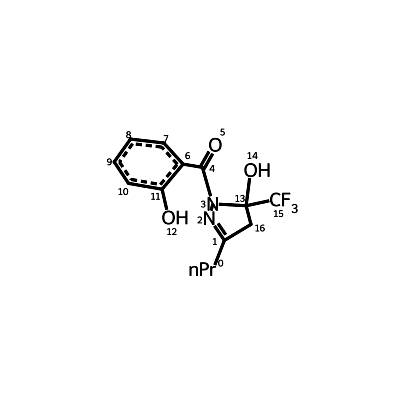 CCCC1=NN(C(=O)c2ccccc2O)C(O)(C(F)(F)F)C1